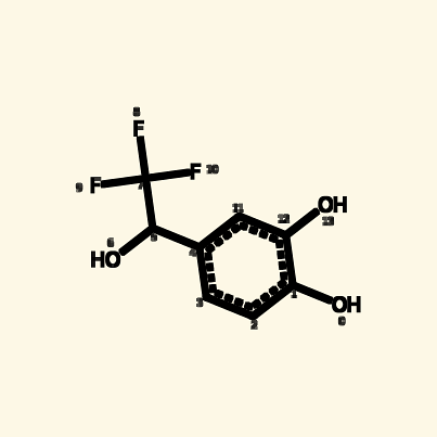 Oc1ccc(C(O)C(F)(F)F)cc1O